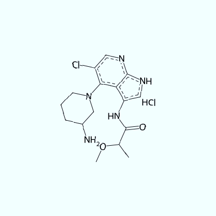 COC(C)C(=O)Nc1c[nH]c2ncc(Cl)c(N3CCCC(N)C3)c12.Cl